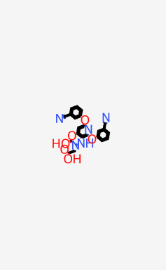 N#Cc1cccc(Oc2ccc(NN(CC(=O)O)C(=O)O)c(Oc3cccc(C#N)c3)n2)c1